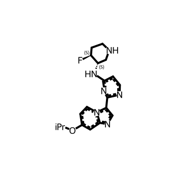 CC(C)Oc1ccn2c(-c3nccc(N[C@H]4CNCC[C@@H]4F)n3)cnc2c1